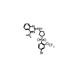 CN(C)c1nc(NC2CCN(S(=O)(=O)c3ccc(Br)cc3OC(F)(F)F)C2)nc2ccccc12